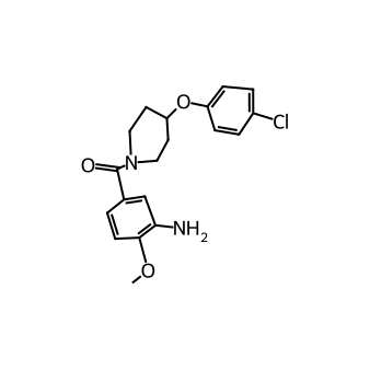 COc1ccc(C(=O)N2CCC(Oc3ccc(Cl)cc3)CC2)cc1N